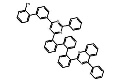 N#Cc1ccccc1-c1cccc(-c2nc(-c3ccccc3)nc(-c3ccccc3-c3ccccc3-c3ccccc3-c3nc(-c4ccccc4)c4ccccc4n3)n2)c1